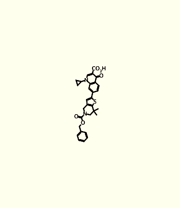 CC1(C)CN(C(=O)OCc2ccccc2)Cc2cc(-c3ccc4c(=O)c(C(=O)O)cn(C5CC5)c4c3)sc21